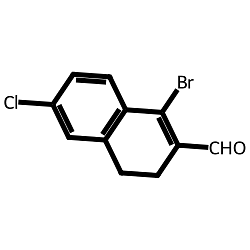 O=CC1=C(Br)c2ccc(Cl)cc2CC1